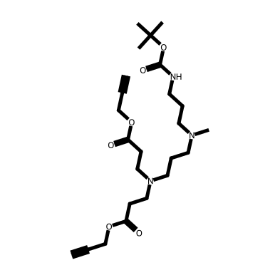 C#CCOC(=O)CCN(CCCN(C)CCCNC(=O)OC(C)(C)C)CCC(=O)OCC#C